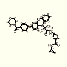 CC(C)(C(=O)Nc1nnc(C(=O)NC2CC2)s1)C1c2cccnc2Oc2nc(-c3ccc(C(=O)N4CCOCC4)cc3)ccc21